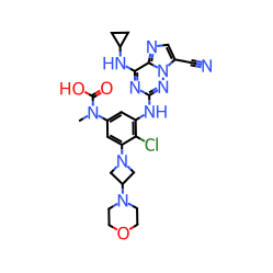 CN(C(=O)O)c1cc(Nc2nc(NC3CC3)c3ncc(C#N)n3n2)c(Cl)c(N2CC(N3CCOCC3)C2)c1